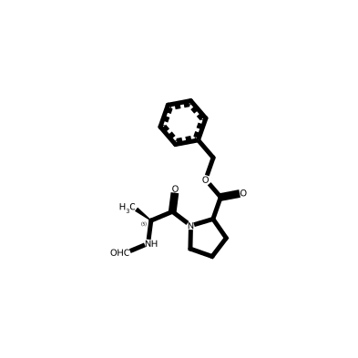 C[C@H](NC=O)C(=O)N1CCCC1C(=O)OCc1ccccc1